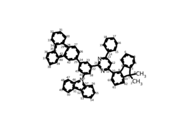 CC1(C)c2ccccc2-c2c(-c3cc(-c4ccccc4)nc(-c4cc(-c5ccc6c7ccccc7c7ccccc7c6c5)cc(-n5c6ccccc6c6ccccc65)c4)n3)cccc21